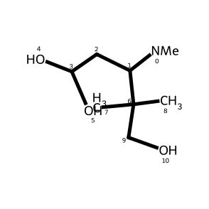 CNC(CC(O)O)C(C)(C)CO